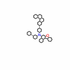 c1ccc(-c2cccc(N(c3ccc(-c4ccc5c(ccc6ccc7ccccc7c65)c4)cc3)c3cc4oc5ccccc5c4c4ccccc34)c2)cc1